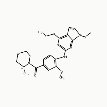 CCOc1nc(Nc2ccc(C(=O)N3CCOC[C@H]3C)cc2OC)nc2c1ccn2SI